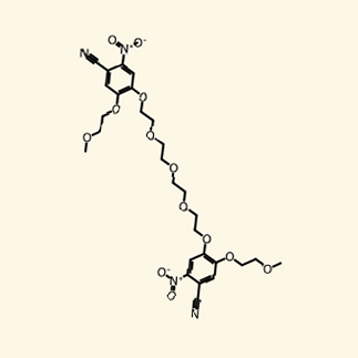 COCCOc1cc(C#N)c([N+](=O)[O-])cc1OCCOCCOCCOCCOc1cc([N+](=O)[O-])c(C#N)cc1OCCOC